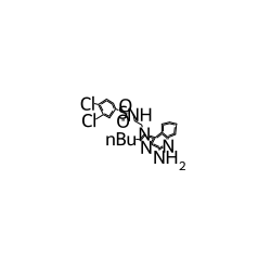 CCCCc1nc2c(N)nc3ccccc3c2n1CCNS(=O)(=O)c1ccc(Cl)c(Cl)c1